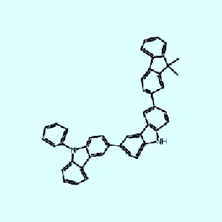 CC1(C)c2ccccc2-c2ccc(-c3ccc4[nH]c5ccc(-c6ccc7c(c6)c6ccccc6n7-c6ccccc6)cc5c4c3)cc21